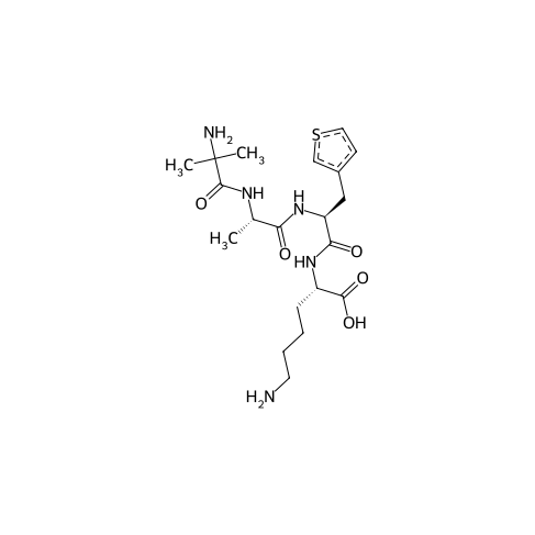 C[C@H](NC(=O)C(C)(C)N)C(=O)N[C@@H](Cc1ccsc1)C(=O)N[C@@H](CCCCN)C(=O)O